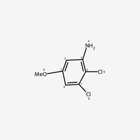 COc1cc(N)c(Cl)c(Cl)c1